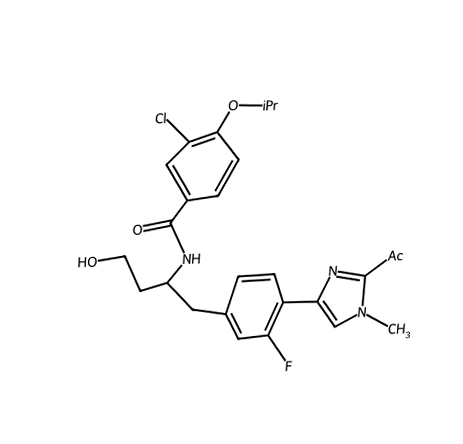 CC(=O)c1nc(-c2ccc(CC(CCO)NC(=O)c3ccc(OC(C)C)c(Cl)c3)cc2F)cn1C